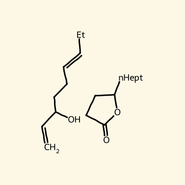 C=CC(O)CCC=CCC.CCCCCCCC1CCC(=O)O1